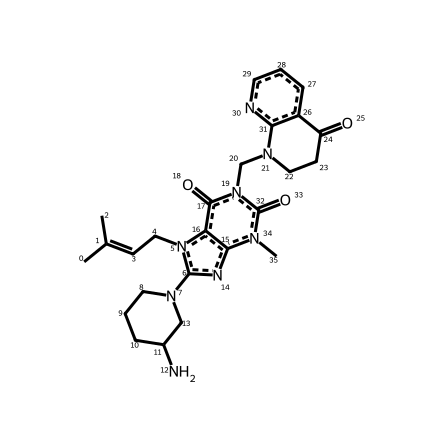 CC(C)=CCn1c(N2CCCC(N)C2)nc2c1c(=O)n(CN1CCC(=O)c3cccnc31)c(=O)n2C